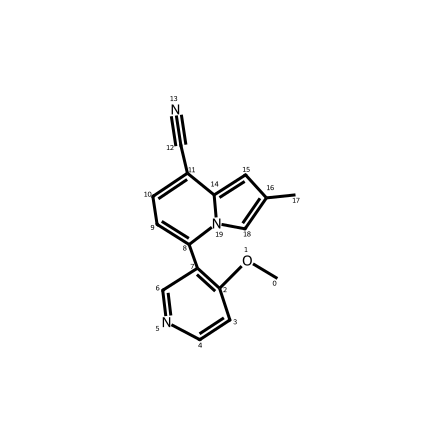 COc1ccncc1-c1ccc(C#N)c2cc(C)cn12